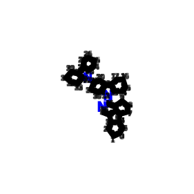 c1ccc2c(c1)-c1cccc3c(-n4c5ccccc5c5cc(-n6c7ccccc7c7ccccc76)ccc54)ncc-2c13